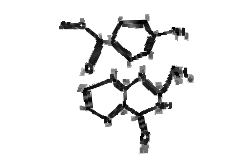 COC(=O)c1ccc(N)cc1.Nc1nc2nccnc2c(=O)[nH]1